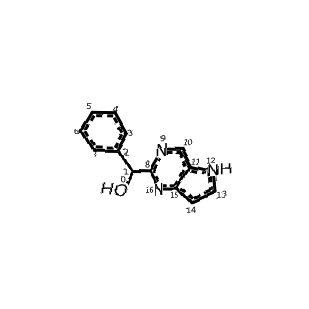 OC(c1ccccc1)c1ncc2[nH]ccc2n1